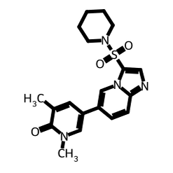 Cc1cc(-c2ccc3ncc(S(=O)(=O)N4CCCCC4)n3c2)cn(C)c1=O